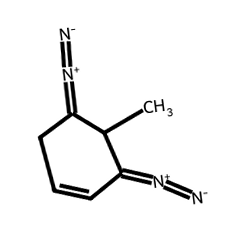 CC1C(=[N+]=[N-])C=CCC1=[N+]=[N-]